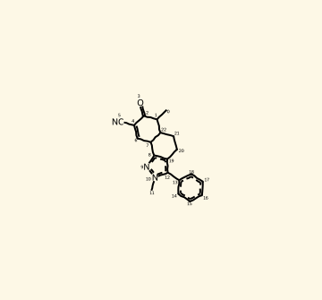 CC1C(=O)C(C#N)=CC2c3nn(C)c(-c4ccccc4)c3CCC12